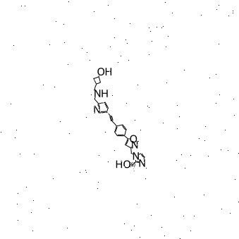 C[C@H](O)c1nccn1Cc1cc(-c2ccc(C#Cc3ccc(CNCC4CC(O)C4)nc3)cc2)on1